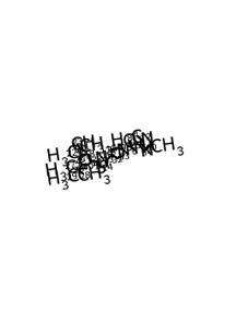 Cc1nc(C)n(CC(=O)N2CCC(c3csc(-c4cc(C(C)(C)C)cc(C(C)(C)C)c4)n3)CC2)n1